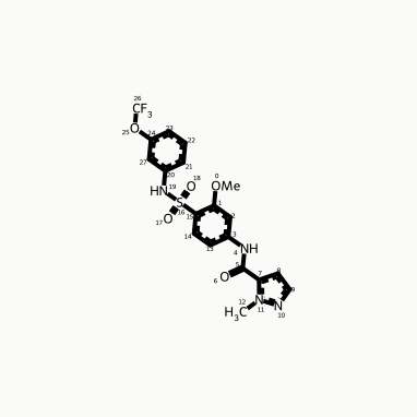 COc1cc(NC(=O)c2ccnn2C)ccc1S(=O)(=O)Nc1cccc(OC(F)(F)F)c1